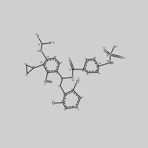 COc1c(C(Cc2c(Cl)cncc2Cl)OC(=O)c2ccc(NS(C)(=O)=O)cc2)ccc(OC(F)F)c1C1CC1